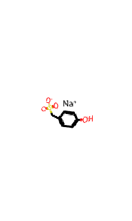 O=S(=O)([O-])Cc1ccc(O)cc1.[Na+]